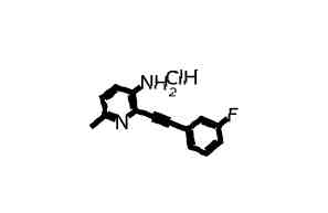 Cc1ccc(N)c(C#Cc2cccc(F)c2)n1.Cl